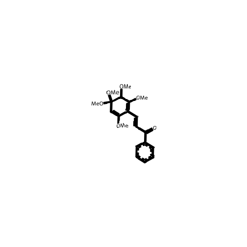 COC1=CC(OC)(OC)C(OC)C(OC)=C1C=CC(=O)c1ccccc1